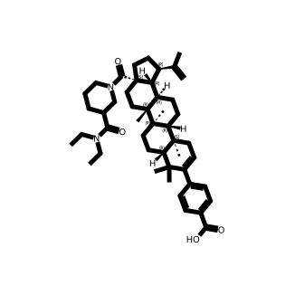 C=C(C)[C@@H]1CC[C@]2(C(=O)N3CCCC(C(=O)N(CC)CC)C3)CC[C@]3(C)[C@H](CC[C@@H]4[C@@]5(C)CC=C(c6ccc(C(=O)O)cc6)C(C)(C)[C@@H]5CC[C@]43C)[C@@H]12